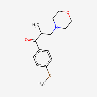 CSc1ccc(C(=O)C(C)CN2CCOCC2)cc1